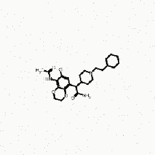 CC(=O)Nc1c(Cl)cc(C(C(N)=O)C2CCN(CCC3CCCCC3)CC2)c2c1OCCO2